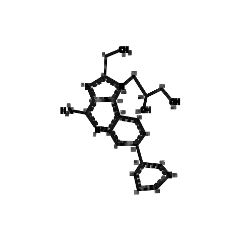 CCc1nc2c(N)nc3cc(-c4cccnc4)ccc3c2n1CC(O)CO